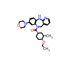 CCO[C@H]1CC[C@@H](C(=O)N2Cc3cccnc3Nc3ccc(N4CCOCC4)cc32)C[C@H]1C